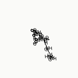 C=CC(=O)NC[C@H](NC(=O)CCCCCNC(=O)CCCC[C@@H]1SC[C@@H]2NC(=O)N[C@@H]21)C(=O)N1C[C@H](Oc2cc(-c3ccccc3)nc3cc(OC)ccc23)C[C@H]1C(=O)N[C@]1(C(=O)NS(=O)(=O)c2ccccc2)C[C@H]1C=C